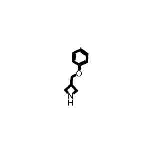 [c]1ccc(OCC2CNC2)cc1